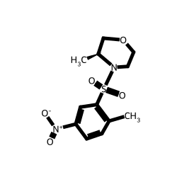 Cc1ccc([N+](=O)[O-])cc1S(=O)(=O)N1CCOC[C@@H]1C